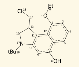 CCOc1cccc2c(O)cc3c(c12)C(CCl)CN3C(C)(C)C